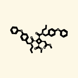 CCCN(Cc1ccc(Oc2ccccc2)cc1)C(=O)[C@H]1[C@@H](C(=O)OC)[C@H](CC(=O)OC)[C@@H]1C(=O)N(CCC)Cc1ccc(Oc2ccccc2)cc1